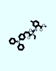 CCN1C(=O)/C(=C\c2ccc(N(c3ccccc3)c3ccccc3)cc2)O/C1=N\c1cc(C)ccc1C(=O)OC